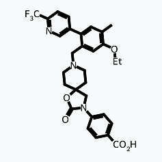 CCOc1cc(CN2CCC3(CC2)CN(c2ccc(C(=O)O)cc2)C(=O)O3)c(-c2ccc(C(F)(F)F)nc2)cc1C